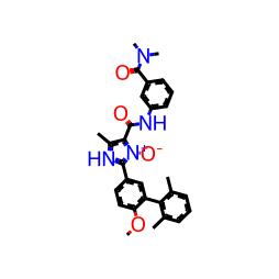 COc1ccc(-c2[nH]c(C)c(C(=O)Nc3cccc(C(=O)N(C)C)c3)[n+]2[O-])cc1-c1c(C)cccc1C